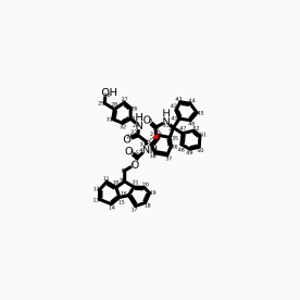 O=C(C[C@H](NC(=O)OCC1c2ccccc2-c2ccccc21)C(=O)Nc1ccc(CO)cc1)NC(c1ccccc1)(c1ccccc1)c1ccccc1